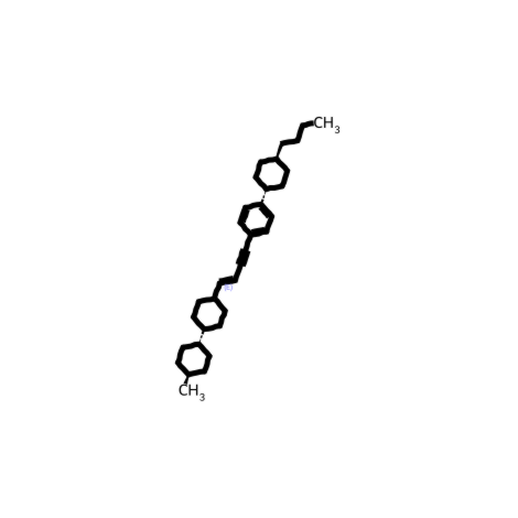 CCCC[C@H]1CC[C@H](c2ccc(C#C/C=C/C3CCC([C@H]4CC[C@H](C)CC4)CC3)cc2)CC1